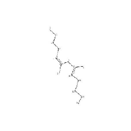 CCCCN=C(C)CC(C)=NCCCC